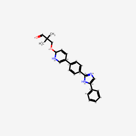 CC(C)(C=O)COC1C=CC(c2ccc(-c3ncc(-c4ccccc4)[nH]3)cc2)=CN1